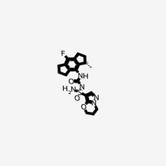 C[C@H]1CCc2c(F)c3c(c(NC(=O)N=S(N)(=O)c4cnn5c4OCCC5)c21)CCC3